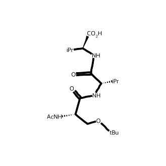 CC(=O)N[C@@H](COC(C)(C)C)C(=O)N[C@H](C(=O)N[C@H](C(=O)O)C(C)C)C(C)C